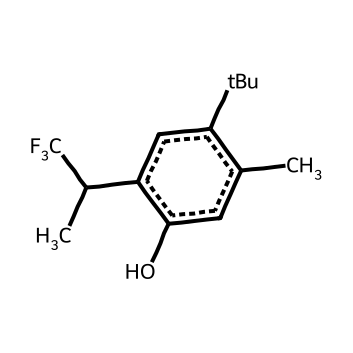 Cc1cc(O)c(C(C)C(F)(F)F)cc1C(C)(C)C